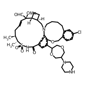 CO[C@]1(C=O)/C=C/C[C@H](C)[C@@H](C)S(=O)(=O)NC(=O)c2cc(C3COCC(N4CCNCC4)CO3)c3c(c2)N(CCCCc2cc(Cl)ccc2CO3)C[C@@H]2CC[C@H]21